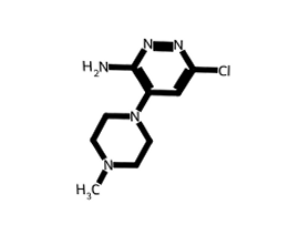 CN1CCN(c2cc(Cl)nnc2N)CC1